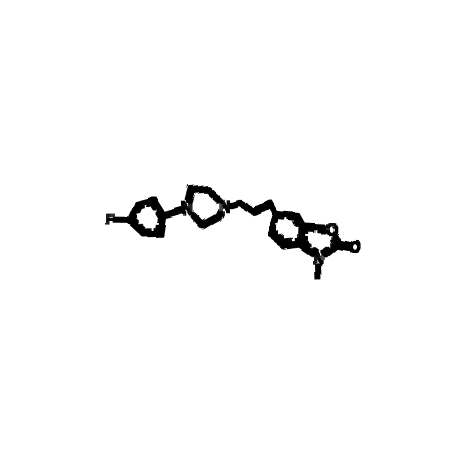 Cn1c(=O)oc2cc(/C=C/CN3CCN(c4ccc(F)cc4)CC3)ccc21